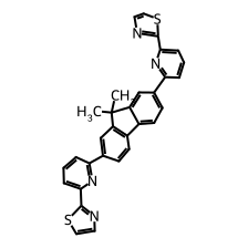 CC1(C)c2cc(-c3cccc(-c4nccs4)n3)ccc2-c2ccc(-c3cccc(-c4nccs4)n3)cc21